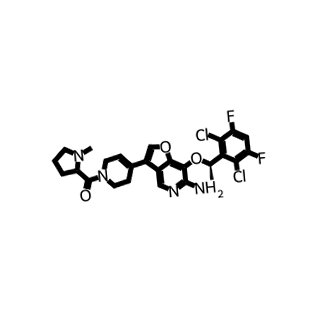 C[C@@H](Oc1c(N)ncc2c(C3=CCN(C(=O)C4CCCN4C)CC3)coc12)c1c(Cl)c(F)cc(F)c1Cl